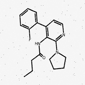 CCCC(=O)Nc1c(-c2ccccc2F)ccnc1N1CCCC1